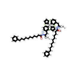 CC(Cc1ccc(F)[c]([Ti]([C]2=CC=CC2)([C]2=CC=CC2)[c]2c(F)ccc(CC(C)NC(=O)CCCCCCCCCCc3ccccc3)c2F)c1F)NC(=O)CCCCCCCCCCc1ccccc1